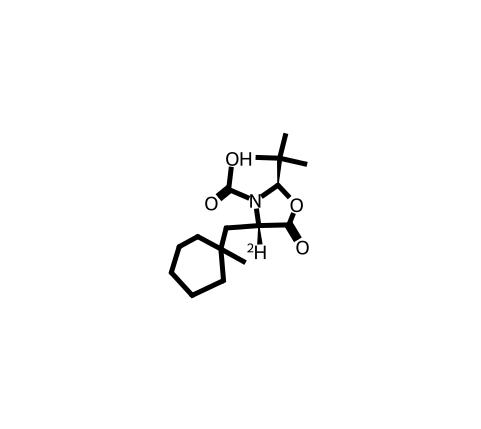 [2H][C@]1(CC2(C)CCCCC2)C(=O)O[C@H](C(C)(C)C)N1C(=O)O